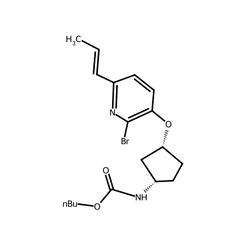 CC=Cc1ccc(O[C@@H]2CC[C@H](NC(=O)OCCCC)C2)c(Br)n1